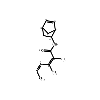 C/N=N\C(C)=C(\C)C(=O)NC1CC2C=CC1C2